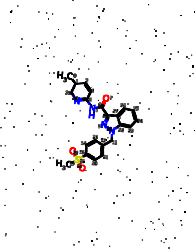 CC1C=CC(NC(=O)c2nn(Cc3ccc(S(C)(=O)=O)cc3)c3ccccc23)=NC1